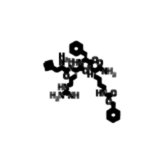 N=C(N)NCCC[C@H](NC(=O)[C@@H](N)CC12CC(C1)C2)C(=O)N[C@@H](Cc1ccccc1)C(=O)N[C@@H](CCCCNC(=O)OCc1ccccc1)C(N)=O